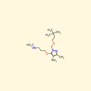 Cc1nn(COCC[Si](C)(C)C)c(OCCCNC(=O)O)c1[N+](=O)[O-]